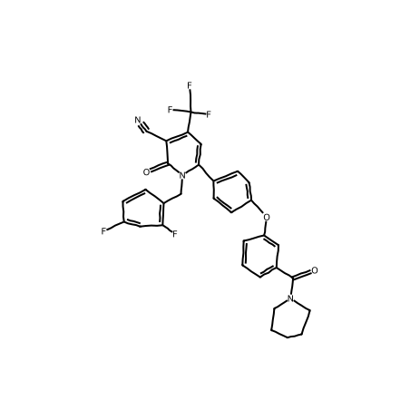 N#Cc1c(C(F)(F)F)cc(-c2ccc(Oc3cccc(C(=O)N4CCCCC4)c3)cc2)n(Cc2ccc(F)cc2F)c1=O